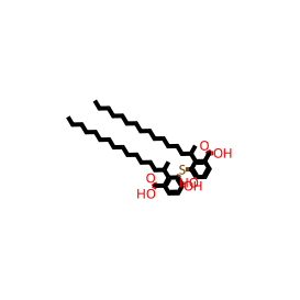 CCCCCCCCCCCCCCC(C)c1c(C(=O)O)ccc(O)c1Sc1c(O)ccc(C(=O)O)c1C(C)CCCCCCCCCCCCCC